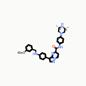 COc1cccc(CNc2ccc(-c3cnn4ccc(C(=O)Nc5ccc(N6C[C@@H](C)N[C@@H](C)C6)cc5)nc34)cc2)c1